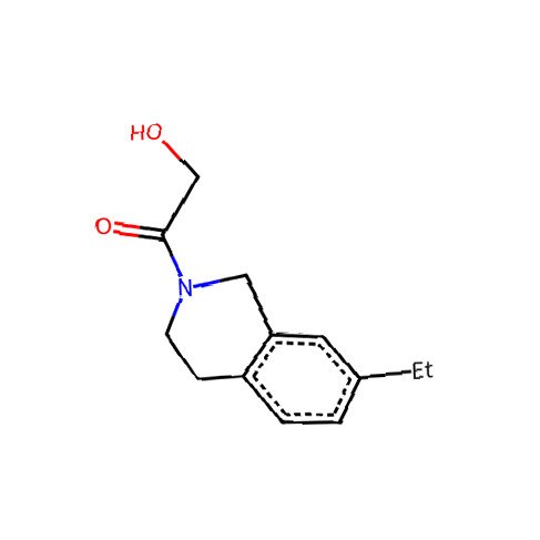 CCc1ccc2c(c1)CN(C(=O)CO)CC2